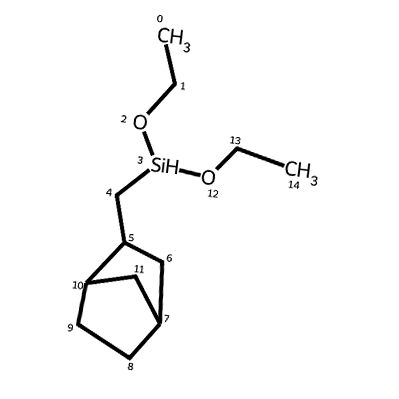 CCO[SiH](CC1CC2CCC1C2)OCC